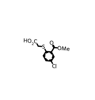 COC(=O)c1cc(Cl)ccc1SCC(=O)O